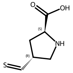 O=C(O)[C@@H]1C[C@@H](C=S)CN1